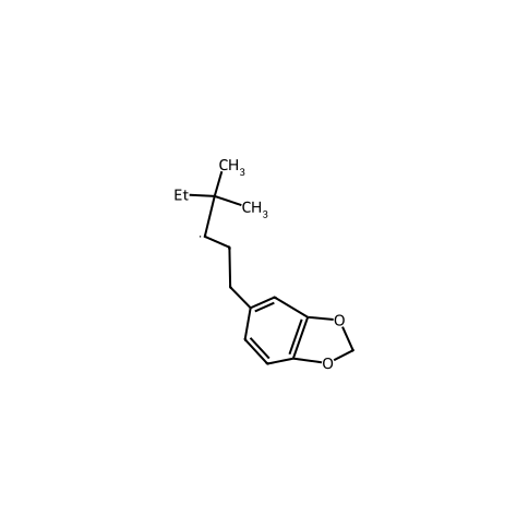 CCC(C)(C)[CH]CCc1ccc2c(c1)OCO2